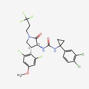 COc1cc(F)c([C@@H]2CN(CCC(F)(F)F)C(=O)[C@H]2NC(=O)NC2(c3ccc(Cl)c(Cl)c3)CC2)c(F)c1